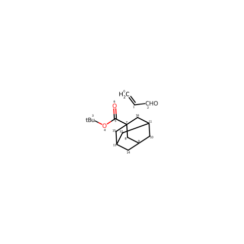 C=CC=O.CC(C)(C)OC(=O)C12CC3CC(CC(C3)C1)C2